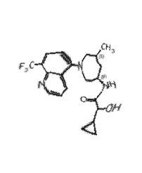 C[C@H]1C[C@@H](NC(=O)C(O)C2CC2)CN(c2ccc(C(F)(F)F)c3ncccc23)C1